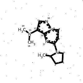 CC1CCCN1c1ccn2ncc(N(C)C)c2n1